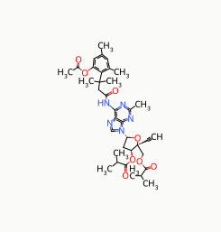 C#C[C@]1(COC(=O)C(C)C)O[C@@H](n2cnc3c(NC(=O)CC(C)(C)c4c(C)cc(C)cc4OC(C)=O)nc(C)nc32)C[C@@H]1OC(=O)C(C)C